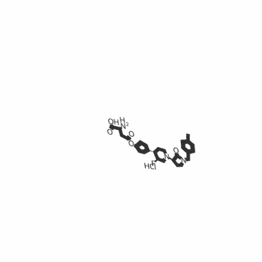 Cc1ccc(CN2CC[C@@H](N3CC[C@@H](c4ccc(OC(=O)C[C@H](N)C(=O)O)cc4)[C@H](F)C3)C2=O)cc1.Cl